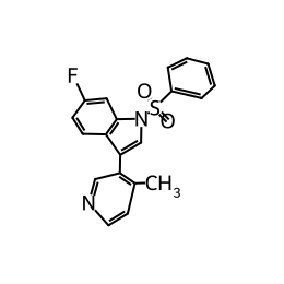 Cc1ccncc1-c1cn(S(=O)(=O)c2ccccc2)c2cc(F)ccc12